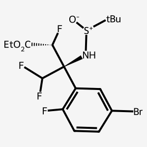 CCOC(=O)[C@H](F)[C@](N[S+]([O-])C(C)(C)C)(c1cc(Br)ccc1F)C(F)F